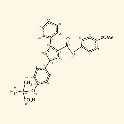 COc1ccc(NC(=O)c2nc(-c3ccc(OC(C)(C)C(=O)O)cc3)sc2-c2ccccc2)cc1